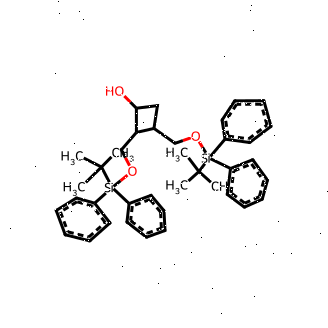 CC(C)(C)[Si](OCC1CC(O)C1CO[Si](c1ccccc1)(c1ccccc1)C(C)(C)C)(c1ccccc1)c1ccccc1